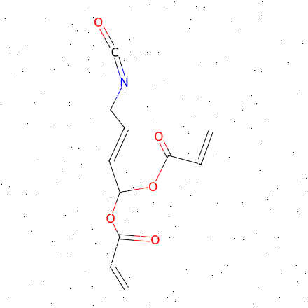 C=CC(=O)OC(C=CCN=C=O)OC(=O)C=C